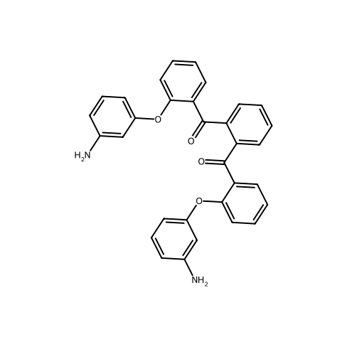 Nc1cccc(Oc2ccccc2C(=O)c2ccccc2C(=O)c2ccccc2Oc2cccc(N)c2)c1